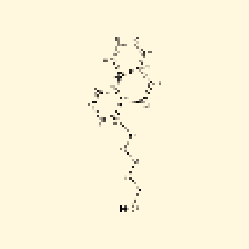 OCCCCCc1cccc2c1ccc1ccccc12